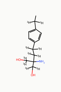 [2H]C([2H])(C)c1ccc(C([2H])([2H])C([2H])([2H])C(N)(C([2H])([2H])O)C([2H])([2H])O)cc1